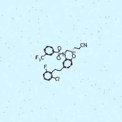 N#CCC[C@H]1CN(S(=O)(=O)c2cccc(C(F)(F)F)c2)c2cc(CCc3c(F)cccc3Cl)ccc2O1